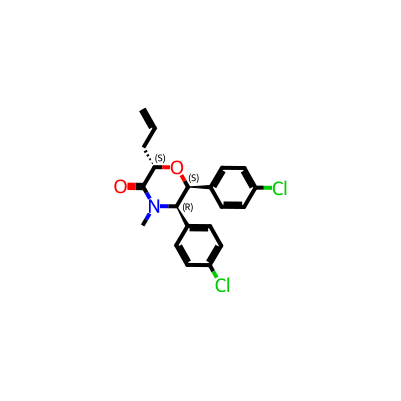 C=CC[C@@H]1O[C@@H](c2ccc(Cl)cc2)[C@@H](c2ccc(Cl)cc2)N(C)C1=O